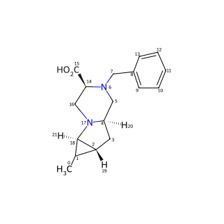 CC1[C@H]2C[C@@H]3CN(Cc4ccccc4)[C@H](C(=O)O)CN3[C@H]12